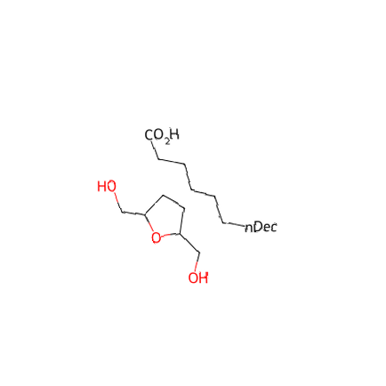 CCCCCCCCCCCCCCCC(=O)O.OCC1CCC(CO)O1